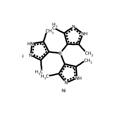 Cc1n[nH]c(C)c1B(c1c(C)n[nH]c1C)c1c(C)n[nH]c1C.[I].[Ni]